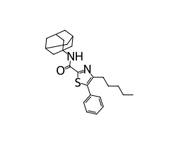 CCCCCc1nc(C(=O)NC23CC4CC(CC(C4)C2)C3)sc1-c1ccccc1